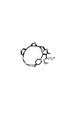 Cc1nc2cc3nn2c(c1[C@H](OC(C)(C)C)C(=O)O)N1CCC(C)(CC1)OCCCCCc1cccc(c1)Cc1cnc-3s1